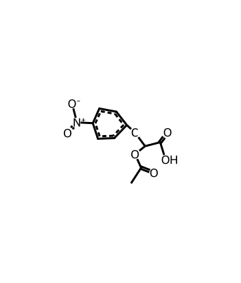 CC(=O)OC(Cc1ccc([N+](=O)[O-])cc1)C(=O)O